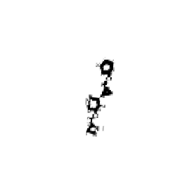 c1ccc(OC[C@H]2C[C@@H]2c2cncc(OC[C@@H]3CCN3)c2)cc1